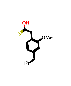 COc1cc(CC(C)C)ccc1CC(O)=S